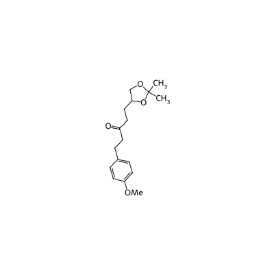 COc1ccc(CCC(=O)CCC2COC(C)(C)O2)cc1